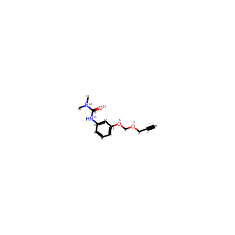 C#CCOCOc1cccc(NC(=O)N(C)C)c1